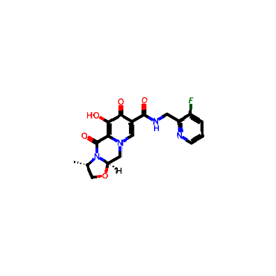 C[C@H]1CO[C@@H]2Cn3cc(C(=O)NCc4ncccc4F)c(=O)c(O)c3C(=O)N12